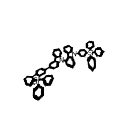 c1ccc([Si](c2ccccc2)(c2ccccc2)c2ccc(-n3c4ccccc4c4c(-n5c6ccccc6c6cc(-c7ccc8c(c7)[Si](c7ccccc7)(c7ccccc7)c7ccccc7-8)ccc65)cccc43)cc2)cc1